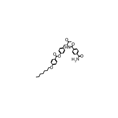 CCCCCCCOc1ccc(C(=O)Oc2ccc(C[C@H](NC(=O)c3ccc(C(N)=O)cc3)C(C)=O)cc2)cc1